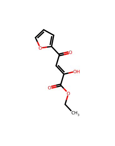 CCOC(=O)C(O)=CC(=O)c1ccco1